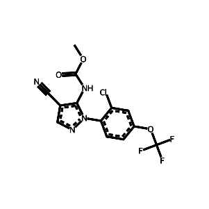 COC(=O)Nc1c(C#N)cnn1-c1ccc(OC(F)(F)F)cc1Cl